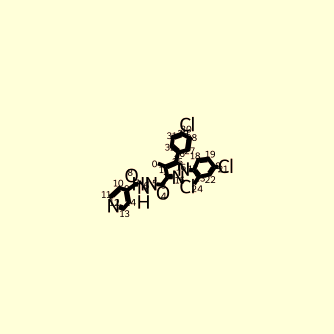 Cc1c(C(=O)NNC(=O)c2ccncc2)nn(-c2ccc(Cl)cc2Cl)c1-c1ccc(Cl)cc1